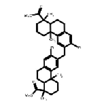 COC(=O)C1(C)CCCC2(C)c3cc(Cc4cc5c(cc4C(C)C)CCC4C(C)(C(=O)OC)CCCC54C)c(C(C)C)cc3CCC12